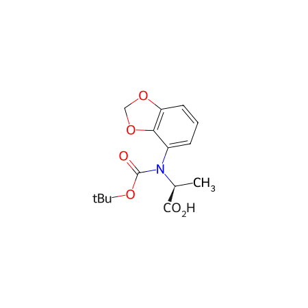 C[C@@H](C(=O)O)N(C(=O)OC(C)(C)C)c1cccc2c1OCO2